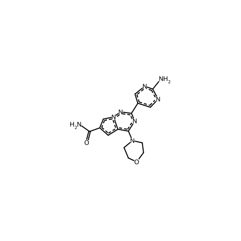 NC(=O)c1cc2c(N3CCOCC3)nc(-c3cnc(N)nc3)nn2c1